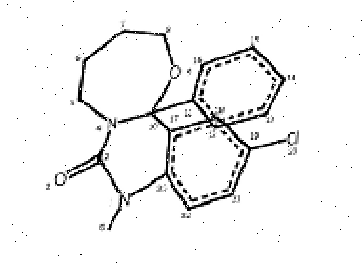 CN1C(=O)N2CCCCOC2(c2ccccc2)c2cc(Cl)ccc21